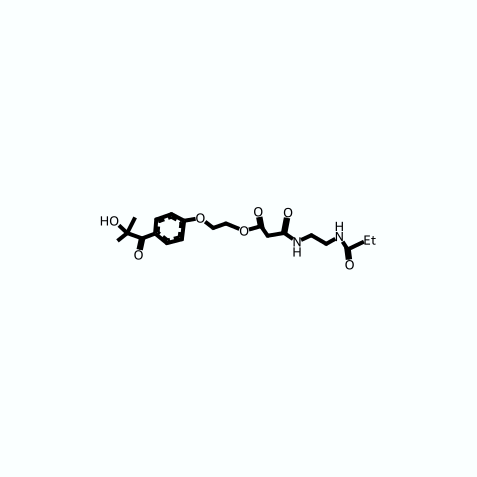 CCC(=O)NCCNC(=O)CC(=O)OCCOc1ccc(C(=O)C(C)(C)O)cc1